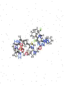 C#Cc1c(F)ccc2cccc(-c3ncc4c(N5CC6CCC(C5)N6)nc(OCCN5CCC(COCC(=O)N[C@H](C(=O)N6CCC[C@H]6C(=O)N[C@@H](C)c6ccc(-c7scnc7C)cc6)C(C)(C)C)CC5)nc4c3F)c12